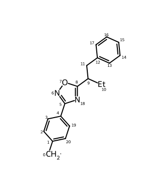 [CH2]c1ccc(-c2noc(C(CC)Cc3ccccc3)n2)cc1